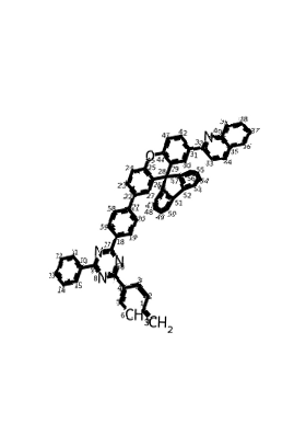 C=C/C=C\C(=C/C)c1nc(-c2ccccc2)nc(-c2ccc(-c3ccc4c(c3)C3(c5cc(-c6ccc7ccccc7n6)ccc5O4)c4ccccc4-c4ccccc43)cc2)n1